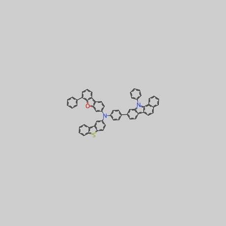 c1ccc(-c2cccc3c2oc2cc(N(c4ccc(-c5ccc6c7ccc8ccccc8c7n(-c7ccccc7)c6c5)cc4)c4ccc5sc6ccccc6c5c4)ccc23)cc1